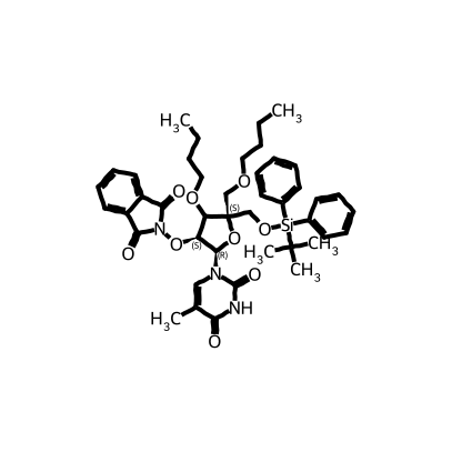 CCCCOC[C@@]1(CO[Si](c2ccccc2)(c2ccccc2)C(C)(C)C)O[C@@H](n2cc(C)c(=O)[nH]c2=O)[C@@H](ON2C(=O)c3ccccc3C2=O)C1OCCCC